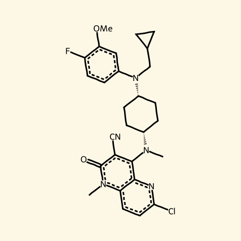 COc1cc(N(CC2CC2)[C@H]2CC[C@@H](N(C)c3c(C#N)c(=O)n(C)c4ccc(Cl)nc34)CC2)ccc1F